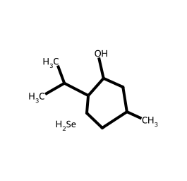 CC1CCC(C(C)C)C(O)C1.[SeH2]